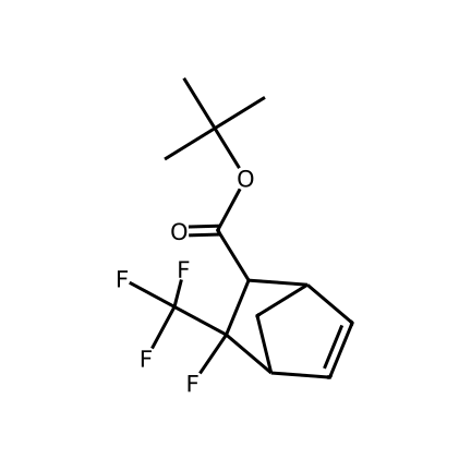 CC(C)(C)OC(=O)C1C2C=CC(C2)C1(F)C(F)(F)F